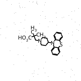 CC(C)(CN1CCC(N2c3ccccc3Sc3ccccc32)CC1)C(=O)O